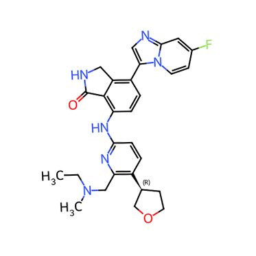 CCN(C)Cc1nc(Nc2ccc(-c3cnc4cc(F)ccn34)c3c2C(=O)NC3)ccc1[C@H]1CCOC1